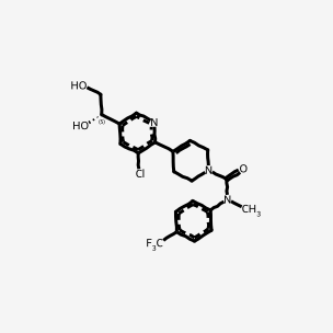 CN(C(=O)N1CC=C(c2ncc([C@H](O)CO)cc2Cl)CC1)c1ccc(C(F)(F)F)cc1